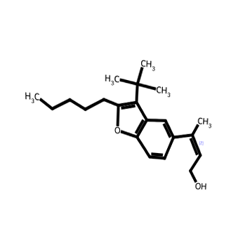 CCCCCc1oc2ccc(/C(C)=C\CO)cc2c1C(C)(C)C